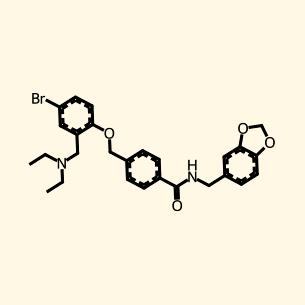 CCN(CC)Cc1cc(Br)ccc1OCc1ccc(C(=O)NCc2ccc3c(c2)OCO3)cc1